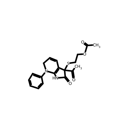 CC(=O)OCCSC1(C(C)=O)C(=O)NC2=C1C=CCN2c1ccccc1